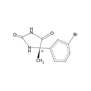 C[C@@]1(c2cccc(Br)c2)NC(=O)NC1=O